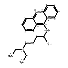 CCN(CC)CCCC(C)Nc1c2ccccc2nc2ccccc12